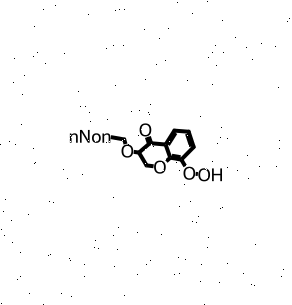 CCCCCCCCCCOC1COc2c(OO)cccc2C1=O